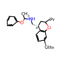 COc1ccc2c(c1)OC(C(C)C)C[C@H]2CNC(C)Oc1ccccc1